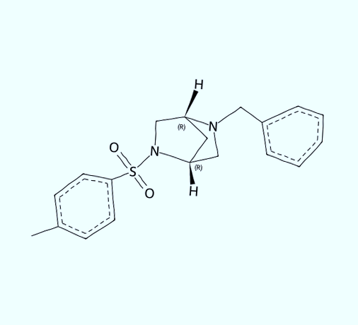 Cc1ccc(S(=O)(=O)N2C[C@H]3C[C@@H]2CN3Cc2ccccc2)cc1